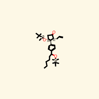 C=CC[C@H]1C(=O)C[C@@H](O[Si](C)(C)C(C)(C)C)[C@@H]1c1ccc(C(CCCCC)O[Si](C)(C)C(C)(C)C)cc1